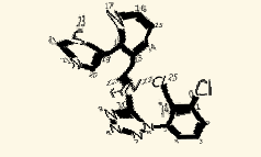 Clc1cccc(-n2nnnc2NCc2cccnc2-c2cncs2)c1Cl